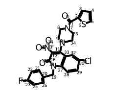 O=C(c1cccs1)N1CCN(c2c([N+](=O)[O-])c(=O)n(Cc3ccc(F)cc3)c3ccc(Cl)cc23)CC1